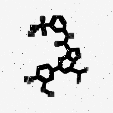 CCNS(=O)(=O)c1cccc(NC(=O)c2cnn3c(C(F)F)cc(-c4ccc(C(F)(F)F)c(OCC)c4)nc23)c1